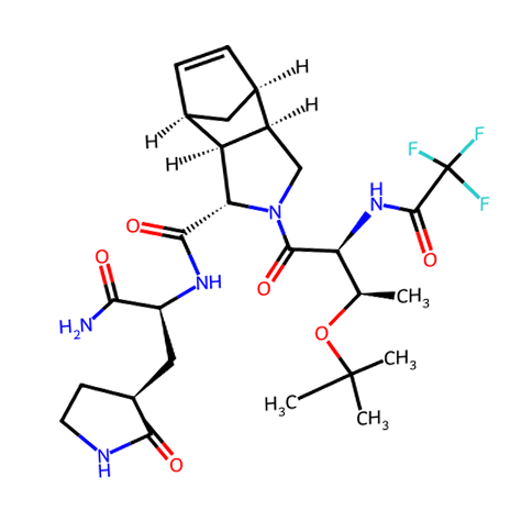 C[C@@H](OC(C)(C)C)[C@H](NC(=O)C(F)(F)F)C(=O)N1C[C@H]2[C@@H]([C@H]1C(=O)N[C@@H](C[C@@H]1CCNC1=O)C(N)=O)[C@H]1C=C[C@@H]2C1